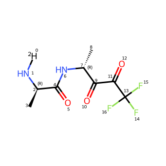 [2H]N[C@H](C)C(=O)N[C@H](C)C(=O)C(=O)C(F)(F)F